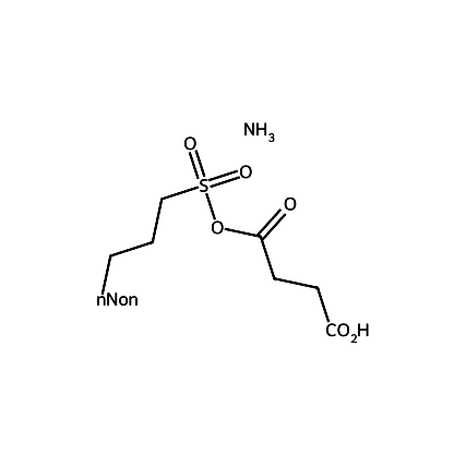 CCCCCCCCCCCCS(=O)(=O)OC(=O)CCC(=O)O.N